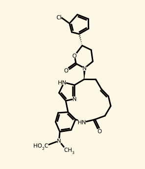 CN(C(=O)O)c1ccc2c(c1)NC(=O)CC/C=C/C[C@H](N1CC[C@@H](c3cccc(Cl)c3)OC1=O)c1nc-2c[nH]1